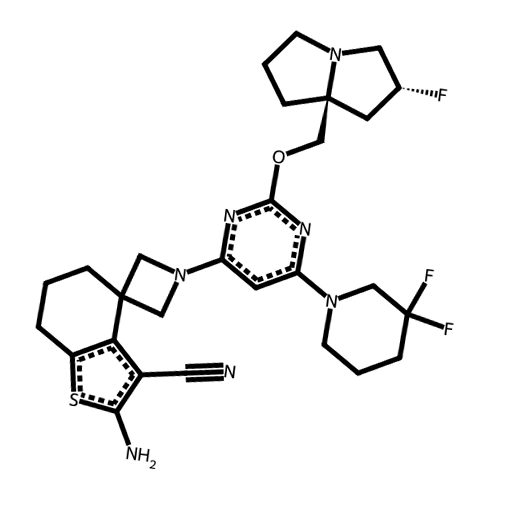 N#Cc1c(N)sc2c1C1(CCC2)CN(c2cc(N3CCCC(F)(F)C3)nc(OC[C@@]34CCCN3C[C@H](F)C4)n2)C1